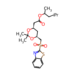 CC(C)CC(C)OC(=O)C[C@H]1C[C@@H](CS(=O)(=O)c2nc3ccccc3s2)OC(C)(C)O1